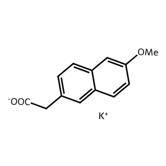 COc1ccc2cc(CC(=O)[O-])ccc2c1.[K+]